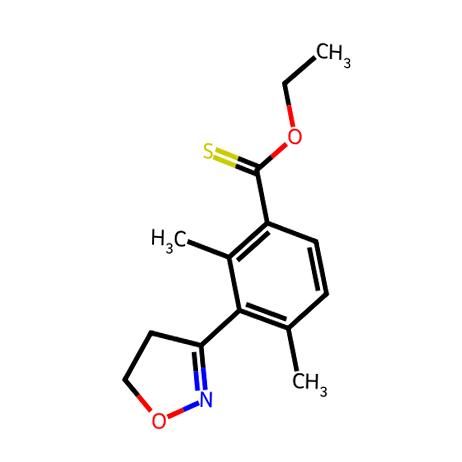 CCOC(=S)c1ccc(C)c(C2=NOCC2)c1C